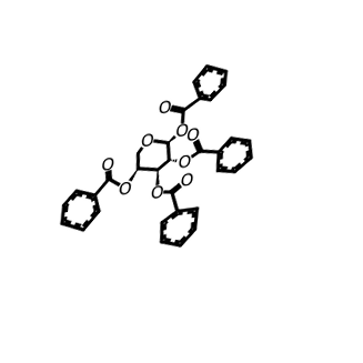 O=C(O[C@@H]1OC[C@H](OC(=O)c2ccccc2)[C@H](OC(=O)c2ccccc2)[C@H]1OC(=O)c1ccccc1)c1ccccc1